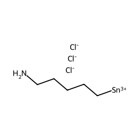 NCCCC[CH2][Sn+3].[Cl-].[Cl-].[Cl-]